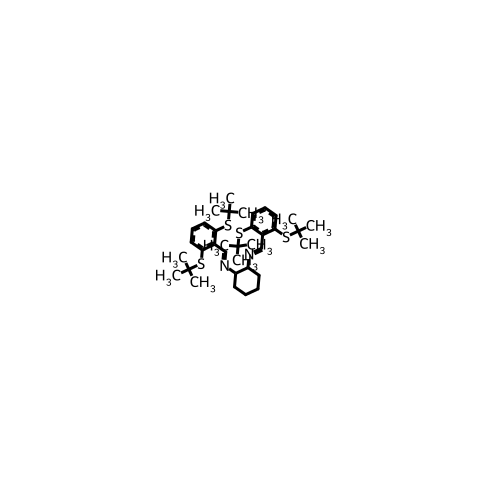 CC(C)(C)Sc1cccc(SC(C)(C)C)c1/C=N/C1CCCCC1/N=C/c1c(SC(C)(C)C)cccc1SC(C)(C)C